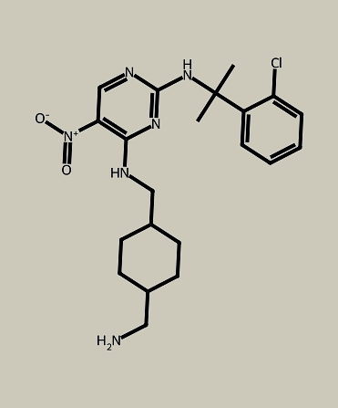 CC(C)(Nc1ncc([N+](=O)[O-])c(NCC2CCC(CN)CC2)n1)c1ccccc1Cl